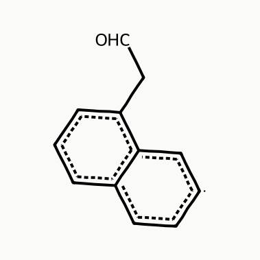 O=CCc1cccc2cc[c]cc12